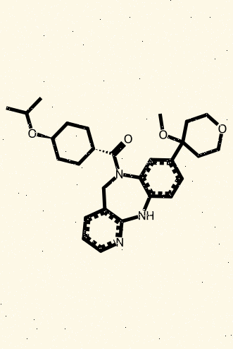 COC1(c2ccc3c(c2)N(C(=O)[C@H]2CC[C@H](OC(C)C)CC2)Cc2cccnc2N3)CCOCC1